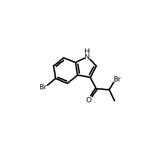 CC(Br)C(=O)c1c[nH]c2ccc(Br)cc12